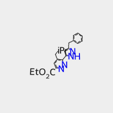 CCOC(=O)c1cc(CC(C)C)c(-c2cc(Cc3ccccc3)n[nH]2)nn1